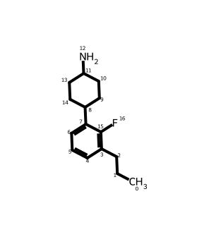 CCCc1cccc(C2CCC(N)CC2)c1F